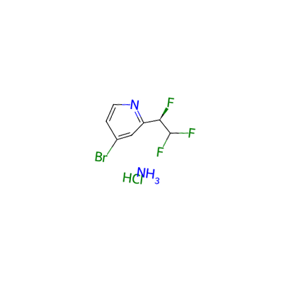 Cl.FC(F)[C@H](F)c1cc(Br)ccn1.N